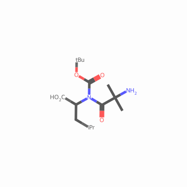 CC(C)CC(C(=O)O)N(C(=O)OC(C)(C)C)C(=O)C(C)(C)N